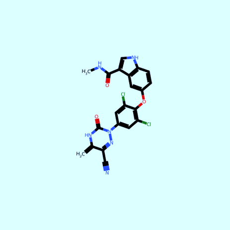 C=C1NC(=O)N(c2cc(Cl)c(Oc3ccc4[nH]cc(C(=O)NC)c4c3)c(Cl)c2)N=C1C#N